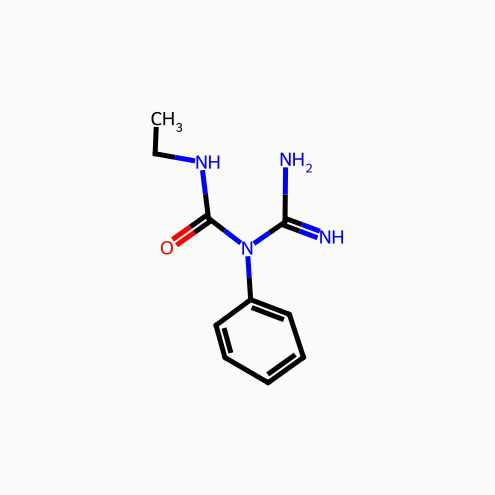 CCNC(=O)N(C(=N)N)c1ccccc1